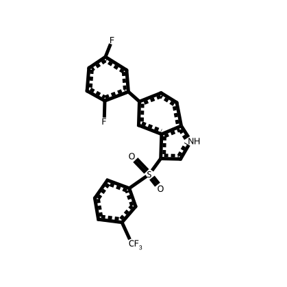 O=S(=O)(c1cccc(C(F)(F)F)c1)c1c[nH]c2ccc(-c3cc(F)ccc3F)cc12